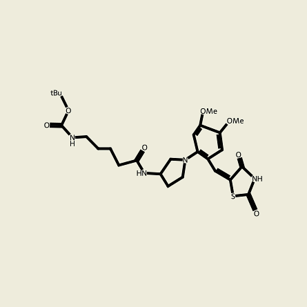 COc1cc(C=C2SC(=O)NC2=O)c(N2CCC(NC(=O)CCCCNC(=O)OC(C)(C)C)C2)cc1OC